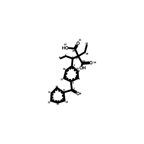 CCC(c1ccc(C(=O)c2ccccc2)cc1)C(CC)(C(=O)O)C(=O)O